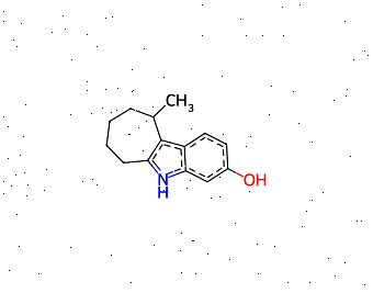 CC1CCCCc2[nH]c3cc(O)ccc3c21